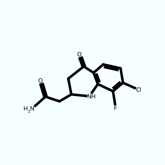 NC(=O)CC1CC(=O)c2ccc(Cl)c(F)c2N1